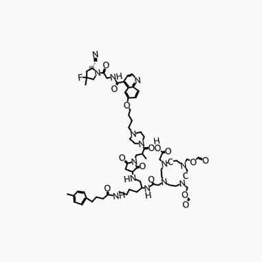 Cc1ccc(CCCC(=O)NCCCCC(CNC2CC(=O)N(CC(C)C(=O)N3CCN(CCCCOc4ccc5nccc(C(=O)NCC(=O)N6CC(C)(F)C[C@@H]6C#N)c5c4)CC3)C2=O)NC(=O)CN2CCN(COC=O)CCN(COC=O)CCN(CC(=O)O)CC2)cc1